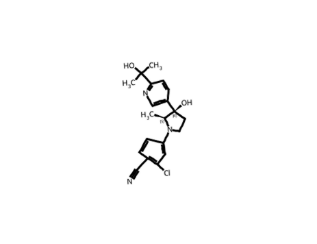 C[C@@H]1N(c2ccc(C#N)c(Cl)c2)CC[C@@]1(O)c1ccc(C(C)(C)O)nc1